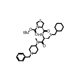 CN(C(=O)[C@H](CSCC1CCCCC1)NC(=O)[C@@H]1CSCN1C(=O)OC(C)(C)C)C1CCN(Cc2ccccc2)CC1